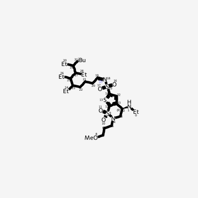 CCN[C@H]1CN(CCCOC)S(=O)(=O)c2sc(S(=O)(=O)/N=C\CCCC(CC)C(CC)C(CC)C(CC)C(C)CC)cc21